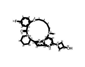 CN1CCCCOc2ccc(F)cc2C(=O)N2CCCCC2c2cc3nc(N4CC(O)C4)cc1n3n2